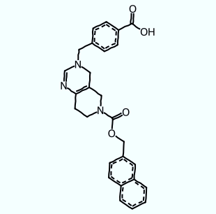 O=C(O)c1ccc(CN2C=NC3=C(C2)CN(C(=O)OCc2ccc4ccccc4c2)CC3)cc1